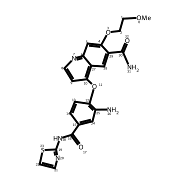 COCCOc1cc2nccc(Oc3ccc(C(=O)Nc4nccs4)cc3N)c2cc1C(N)=O